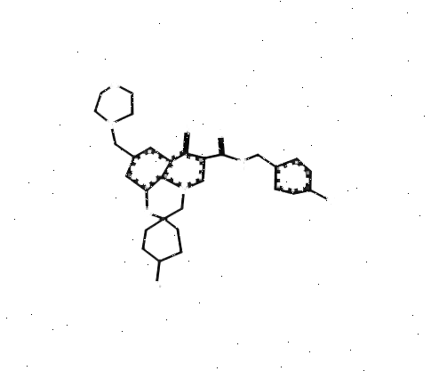 O=C(NCc1ccc(Cl)cc1)c1cn2c3c(cc(CN4CCOCC4)cc3c1=S)OC1(CCC(O)CC1)C2